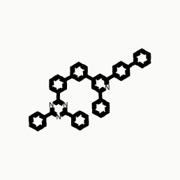 c1ccc(-c2ccc(-c3cc(-c4cccc(-c5cccc(-c6nc(-c7ccccc7)nc(-c7ccccc7)n6)c5)c4)cc(-c4ccccc4)n3)cc2)cc1